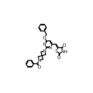 O=C1NC(=O)C(=Cc2cc(OCc3ccccc3)nc(N3CC4(CN(C(=O)c5ccccc5)C4)C3)n2)S1